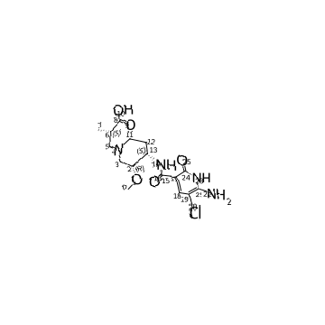 CO[C@@H]1CN(C[C@H](C)C(=O)O)CC[C@@H]1NC(=O)c1cc(Cl)c(N)[nH]c1=O